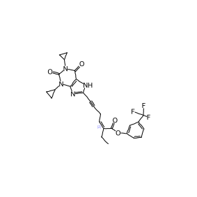 CC/C(=C/CC#Cc1nc2c([nH]1)c(=O)n(C1CC1)c(=O)n2C1CC1)C(=O)Oc1cccc(C(F)(F)F)c1